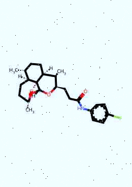 C[C@H]1[C@@H](CCC(=O)Nc2ccc(F)cc2)O[C@@H]2O[C@]3(C)CC[C@H]4[C@H](C)CC[C@@H]1[C@@]24OO3